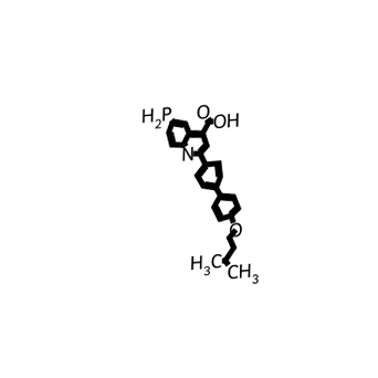 CC(C)CCOc1ccc(-c2ccc(-c3cc(C(=O)O)c4cc(P)ccc4n3)cc2)cc1